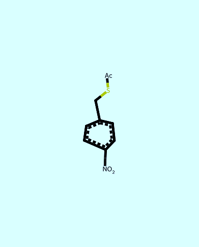 CC(=O)SCc1ccc([N+](=O)[O-])cc1